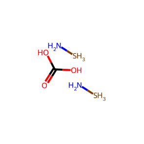 N[SH3].N[SH3].O=C(O)O